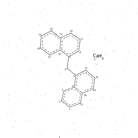 [CaH2].c1ccc2c(Cc3cccc4ccccc34)cccc2c1